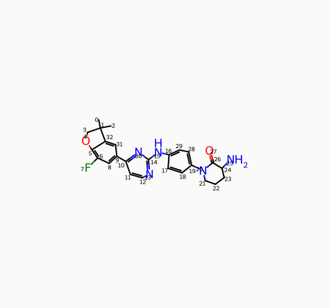 CC1(C)COc2c(F)cc(-c3ccnc(Nc4ccc(N5CCCC(N)C5=O)cc4)n3)cc21